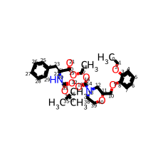 CCOc1ccccc1OCC1CN(C(=O)OC(C)OC(=O)[C@H](Cc2ccccc2)NC(=O)OC(C)(C)C)CCO1